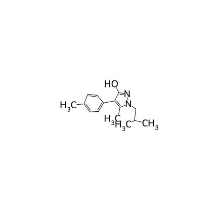 Cc1ccc(-c2c(O)nn(CC(C)C)c2C)cc1